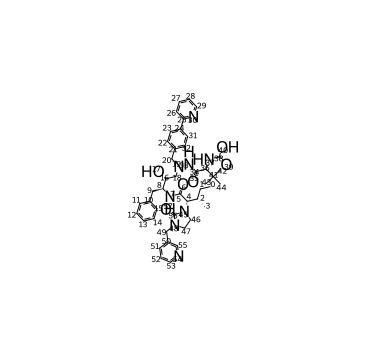 CC[C@H](C)[C@@H](C(=O)N[C@@H](Cc1ccccc1)[C@@H](O)CN(Cc1ccc(-c2ccccn2)cc1)NC(=O)[C@@H](NC(=O)O)C(C)(C)C)N1CCN(Cc2cccnc2)C1=O